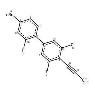 CCCCc1ccc(-c2cc(F)c(C#CC(F)(F)F)c(Cl)c2)c(F)c1